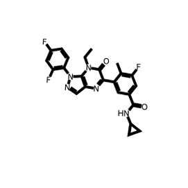 CCn1c(=O)c(-c2cc(C(=O)NC3CC3)cc(F)c2C)nc2cnn(-c3ccc(F)cc3F)c21